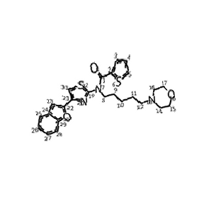 O=C(c1cccs1)N(CCCCCN1CCOCC1)c1nc(-c2cc3ccccc3o2)cs1